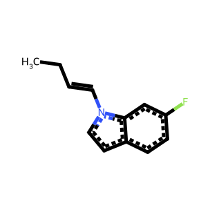 CCC=Cn1ccc2ccc(F)cc21